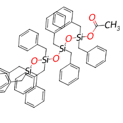 CC(=O)O[Si](Cc1ccccc1)(Cc1ccccc1)O[Si](Cc1ccccc1)(Cc1ccccc1)O[Si](Cc1ccccc1)(Cc1ccccc1)O[Si](Cc1ccccc1)(Cc1ccccc1)Cc1ccccc1